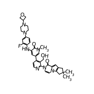 Cn1cc(-c2ccnc(-n3ccn4c5c(cc4c3=O)CC(C)(C)C5)c2CO)cc(Nc2ccc(N3CCN(C4COC4)CC3)cc2F)c1=O